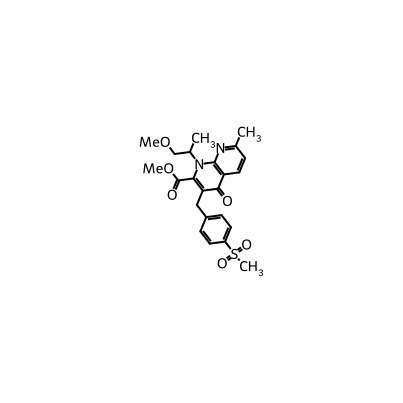 COCC(C)n1c(C(=O)OC)c(Cc2ccc(S(C)(=O)=O)cc2)c(=O)c2ccc(C)nc21